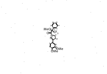 COc1ccc(C2=NN(C(=O)[C@@](OC)(c3ccccc3)C(F)(F)F)CC2)cc1OC